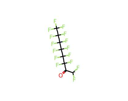 O=C([C](F)F)C(F)(F)C(F)(F)C(F)(F)C(F)(F)C(F)(F)C(F)(F)F